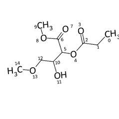 CCC(=O)OC(C(=O)OC)C(O)COC